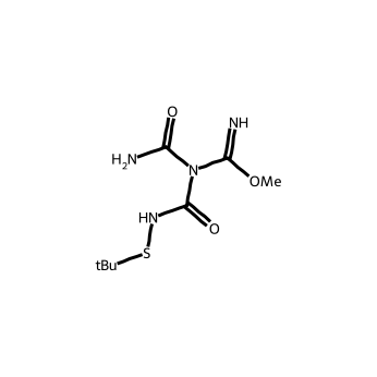 COC(=N)N(C(N)=O)C(=O)NSC(C)(C)C